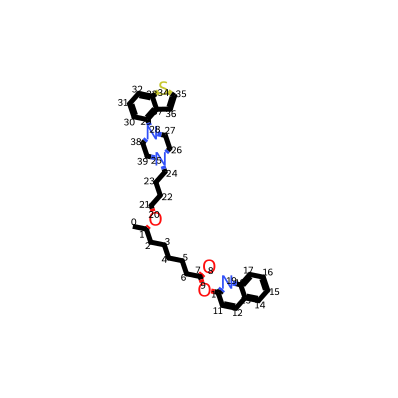 CC(CCCCCC(=O)Oc1ccc2ccccc2n1)OCCCCN1CCN(c2cccc3sccc23)CC1